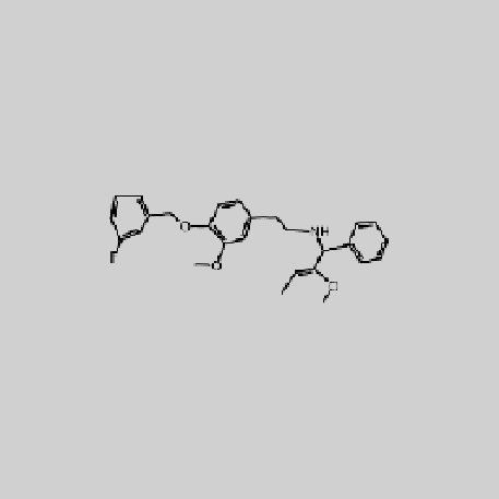 CC=C(OC)C(NCCc1ccc(OCc2cccc(F)c2)c(OC)c1)c1ccccc1